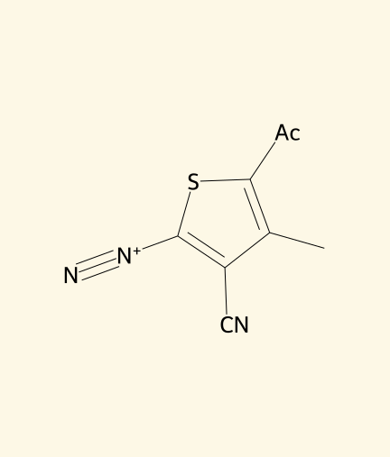 CC(=O)c1sc([N+]#N)c(C#N)c1C